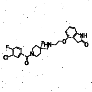 O=C1Cc2c(cccc2OCCNCC2(F)CCN(C(=O)c3ccc(F)c(Cl)c3)CC2)N1